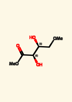 COC[C@H](O)[C@@H](O)C(=O)OC